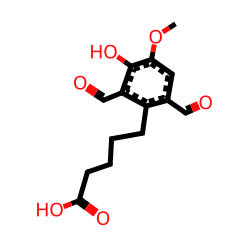 COc1cc(C=O)c(CCCCC(=O)O)c(C=O)c1O